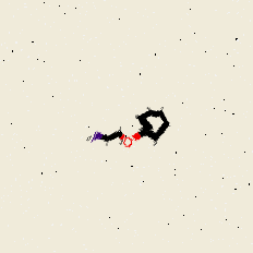 ICCOc1ccccc1